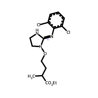 CCOC(=O)C(C)CCON1CCN/C1=N\c1c(Cl)cccc1Cl